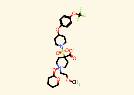 COCC[N+]1(OC2CCCCO2)CCC(C(=O)[O-])(S(=O)(=O)N2CCC(Oc3ccc(OC(F)(F)F)cc3)CC2)CC1